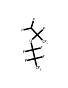 FC(F)C(F)(OC(F)(F)C(F)(F)C(F)(F)F)C(F)(F)F